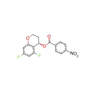 O=C(O[C@@H]1CCOc2cc(F)cc(F)c21)c1ccc([N+](=O)[O-])cc1